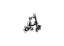 C1=Cc2cc3cc(-c4cccc5c4[nH]c4ccccc45)c(cc4nc(cc5ccc(cc1n2)[nH]5)C=C4)[nH]3.c1cnc2sccc2n1